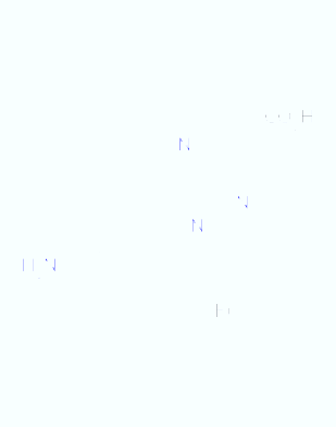 CCc1cc(N)cc2nc(C(=O)O)nn12